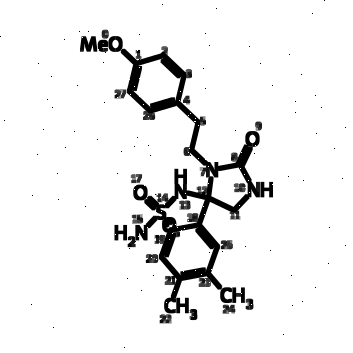 COc1ccc(CCN2C(=O)NCC2(NS(N)(=O)=O)c2ccc(C)c(C)c2)cc1